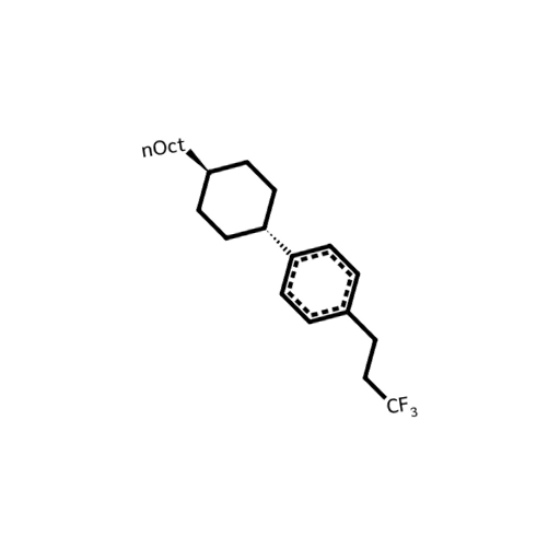 CCCCCCCC[C@H]1CC[C@H](c2ccc(CCC(F)(F)F)cc2)CC1